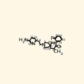 CC1CC2(CCN(CCc3ccc(N)cn3)CC2)CN(c2ccccc2F)C1=O